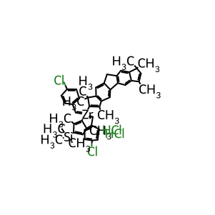 CC1=CC(C)(C)c2cc3c(cc21)-c1cc2c(cc1C3)C(C)(C)[C]([Zr](=[CH]c1ccc(Cl)cc1)(=[CH]c1ccc(Cl)cc1)[C]1=C(C)C([Si](C)(C)C)=CC1C)=C2C.Cl.Cl